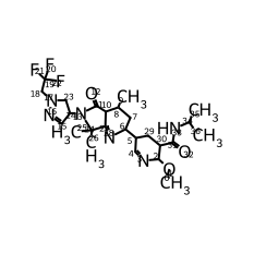 COC1N=CC(C2CC(C)C3C(=O)N(C4C=NN(CC(F)(F)F)C4)C(C)(C)C3=N2)CC1C(=O)NC(C)C